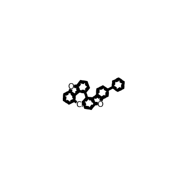 Clc1cccc2oc3cccc(-c4cccc5oc6cc(-c7ccccc7)ccc6c45)c3c12